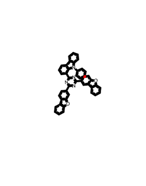 c1ccc(-n2c3ccccc3c3cccc(-c4nc(-c5ccc6c(c5)oc5ccccc56)nc(-c5ccc6oc7ccccc7c6c5)n4)c32)cc1